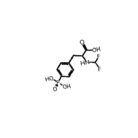 O=C(O)C(Cc1ccc(P(=O)(O)O)cc1)NC(F)F